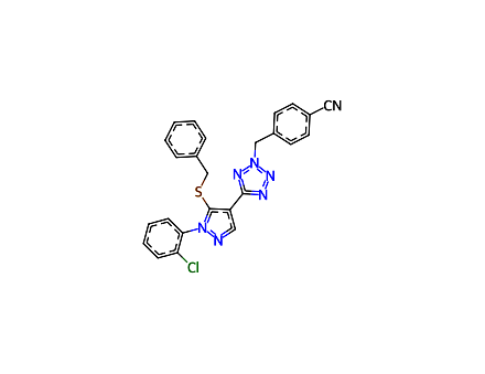 N#Cc1ccc(Cn2nnc(-c3cnn(-c4ccccc4Cl)c3SCc3ccccc3)n2)cc1